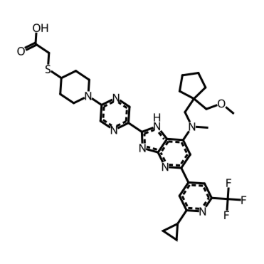 COCC1(CN(C)c2cc(-c3cc(C4CC4)nc(C(F)(F)F)c3)nc3nc(-c4cnc(N5CCC(SCC(=O)O)CC5)cn4)[nH]c23)CCCC1